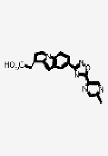 Cc1cnc(-c2nc(-c3ccc4c(c3)cc3n4CC[C@@H]3CC(=O)O)no2)cn1